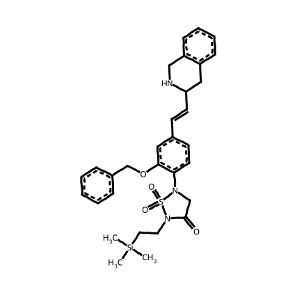 C[Si](C)(C)CCN1C(=O)CN(c2ccc(C=CC3Cc4ccccc4CN3)cc2OCc2ccccc2)S1(=O)=O